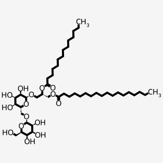 CCCCCCCCCCCCCCCCCC(=O)OC[C@H](CO[C@@H]1O[C@H](CO[C@H]2O[C@H](CO)[C@H](O)[C@H](O)[C@H]2O)[C@H](O)[C@H](O)[C@H]1O)OC(=O)CCCCCCCCCCCCC